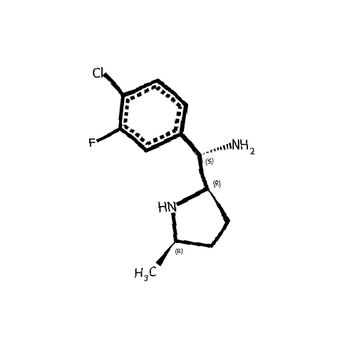 C[C@@H]1CC[C@H]([C@@H](N)c2ccc(Cl)c(F)c2)N1